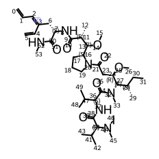 C=C/C=C(\C=C)C[C@H](NC(=O)[C@H](C)[C@@H](OC)[C@@H]1CCCN1C(=O)C[C@@H](OC)[C@H]([C@@H](C)CC)N(C)C(=O)[C@@H](NC(=O)[C@H](C(C)C)N(C)I)C(C)C)C(=O)NC